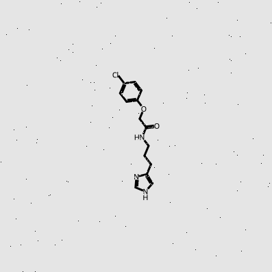 O=C(COc1ccc(Cl)cc1)NCCCc1c[nH]cn1